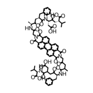 CC(CC(=O)CN1C(=O)c2ccc3c4ccc5c6c(ccc(c7ccc(c2c37)C1=O)c64)C(=O)N(CC(=O)N[C@@H](C)C(=O)C[C@@H](Cc1ccccc1)C(=O)N[C@@H](CC(=O)O)C(=O)C[C@H](C(=O)O)C(C)C)C5=O)C(=O)N[C@@H](Cc1ccccc1)C(=O)CC(CC(=O)O)C(=O)N[C@H](C(=O)O)C(C)C